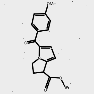 COc1ccc(C(=O)c2ccc3n2CCC3C(=O)OC(C)C)cc1